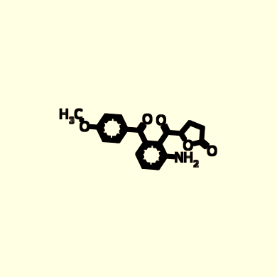 COc1ccc(C(=O)c2cccc(N)c2C(=O)C2CCC(=O)O2)cc1